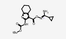 CC(C)(C)OC(=O)Nc1sc2c(c1C(=O)O/N=C(\N)C1CC1)CCCC2